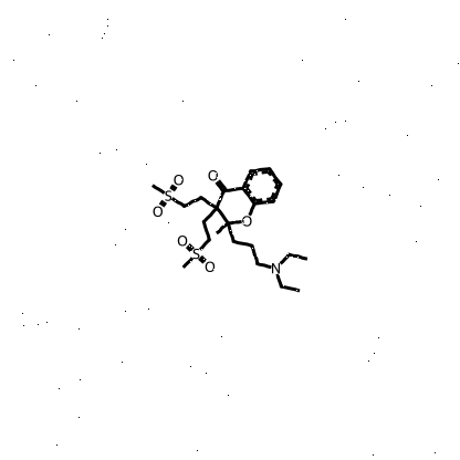 CCN(CC)CCCC1(C)Oc2ccccc2C(=O)C1(CCS(C)(=O)=O)CCS(C)(=O)=O